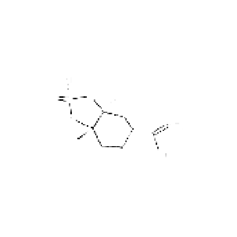 C=C(C)[C@@H]1CC[C@]2(C)S[P@](=O)(S)O[C@H]2C1